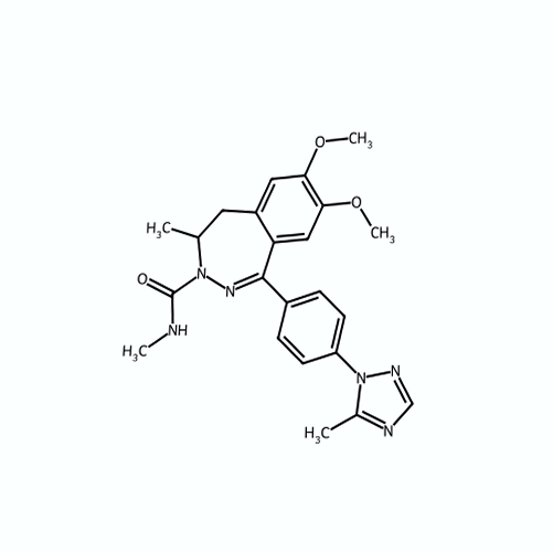 CNC(=O)N1N=C(c2ccc(-n3ncnc3C)cc2)c2cc(OC)c(OC)cc2CC1C